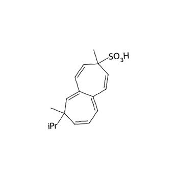 CC(C)C1(C)C=CC=C2C=CC(C)(S(=O)(=O)O)C=CC2=C1